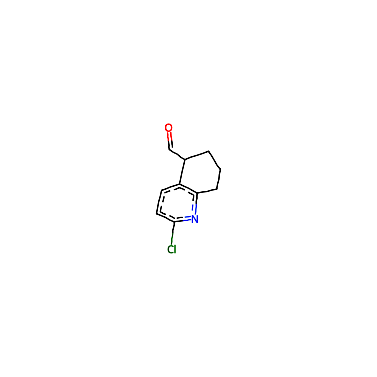 O=CC1CCCc2nc(Cl)ccc21